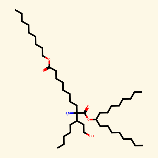 CCCCCCCCCOC(=O)CCCCCCCC(N)(C(=O)OC(CCCCCCCC)CCCCCCCC)C(CCO)CCCCC